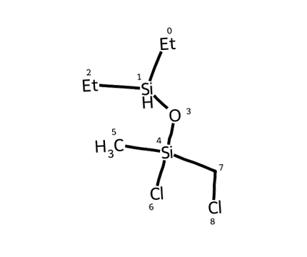 CC[SiH](CC)O[Si](C)(Cl)CCl